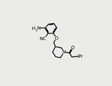 CC(C)CC(=O)N1CCCC(COc2cccc(N)c2C#N)C1